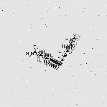 C=O.C=O.C=O.C=O.C=O.C=O.C=O.C=O.NC(N)=O.NC(N)=O.NC(N)=O.NC(N)=O.NC(N)=O.NC(N)=O